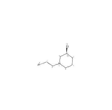 CC[C@H]1CCCN(CCC(C)C)C1